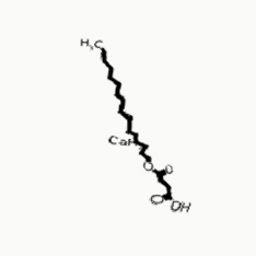 CCCCCCCCCCCCCCCCOC(=O)CCC(=O)O.[CaH2]